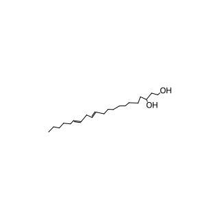 CCCCCC=CCC=CCCCCCCCCC(O)CCO